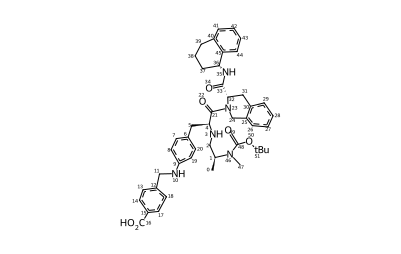 C[C@@H](CN[C@@H](Cc1ccc(NCc2ccc(C(=O)O)cc2)cc1)C(=O)N1Cc2ccccc2C[C@H]1C(=O)N[C@@H]1CCCc2ccccc21)N(C)C(=O)OC(C)(C)C